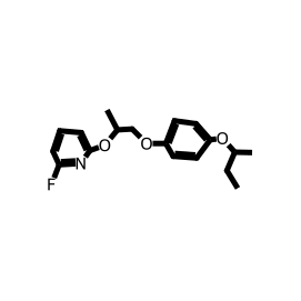 CCC(C)Oc1ccc(OCC(C)Oc2cccc(F)n2)cc1